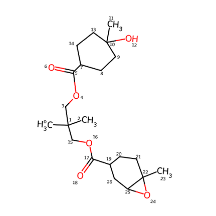 CC(C)(COC(=O)C1CCC(C)(O)CC1)COC(=O)C1CCC2(C)OC2C1